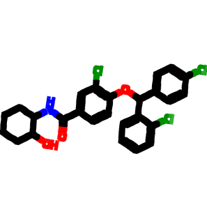 O=C(NC1CCCCC1O)c1ccc(OC(c2ccc(Cl)cc2)c2ccccc2Cl)c(Cl)c1